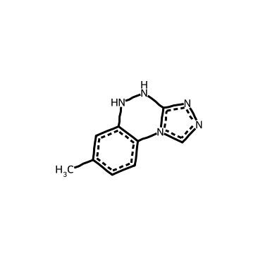 Cc1ccc2c(c1)NNc1nncn1-2